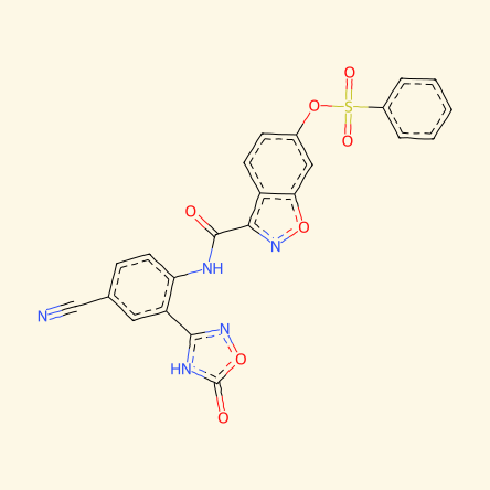 N#Cc1ccc(NC(=O)c2noc3cc(OS(=O)(=O)c4ccccc4)ccc23)c(-c2noc(=O)[nH]2)c1